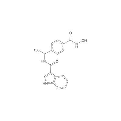 CC(C)(C)C(NC(=O)c1c[nH]c2ccccc12)c1ccc(C(=O)NO)cc1